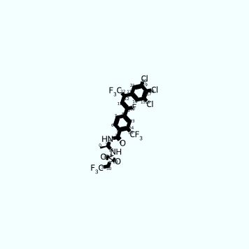 C[C@@H](NC(=O)c1ccc(/C(F)=C/C(c2cc(Cl)c(Cl)c(Cl)c2)C(F)(F)F)cc1C(F)(F)F)NS(=O)(=O)CC(F)(F)F